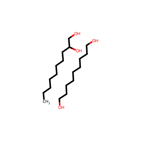 CCCCCCCCC(O)CO.OCCCCCCCCCO